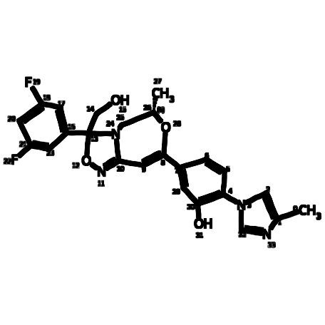 Cc1cn(-c2ccc(C3=CC4=NOC(CO)(c5cc(F)cc(F)c5)N4C[C@H](C)O3)cc2O)cn1